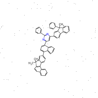 CC1(C)c2cc(-c3ccc(-c4cc(-c5ccc6c(c5)C(C)(c5ccccc5)c5ccccc5-6)nc(-c5ccccc5)n4)c4ccccc34)ccc2-c2c1ccc1ccccc21